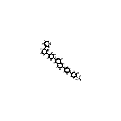 C[Si](C)(C)c1ccc(-c2ccc(-c3ccc4cc(-c5ccc(-c6cccc7c6oc6ncccc67)cc5)ccc4c3)cc2)cc1